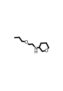 CCCOCCNC1CCCOC1